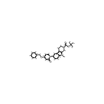 Cn1c2c(c3cc(-n4ccc(OCc5ccccc5)cc4=O)ccc31)CCN(C(=O)OC(C)(C)C)C2